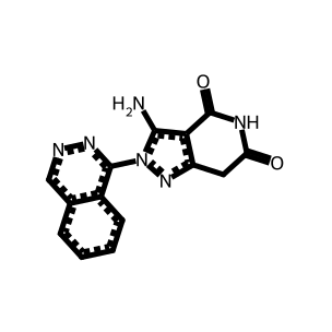 Nc1c2c(nn1-c1nncc3ccccc13)CC(=O)NC2=O